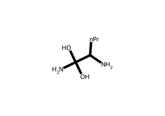 CCCC(N)C(N)(O)O